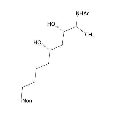 CCCCCCCCCCCCC[C@H](O)C[C@H](O)C(C)NC(C)=O